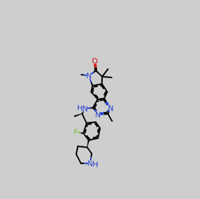 Cc1nc(N[C@H](C)c2cccc([C@@H]3CCCNC3)c2F)c2cc3c(cc2n1)C(C)(C)C(=O)N3C